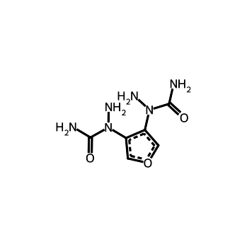 NC(=O)N(N)c1cocc1N(N)C(N)=O